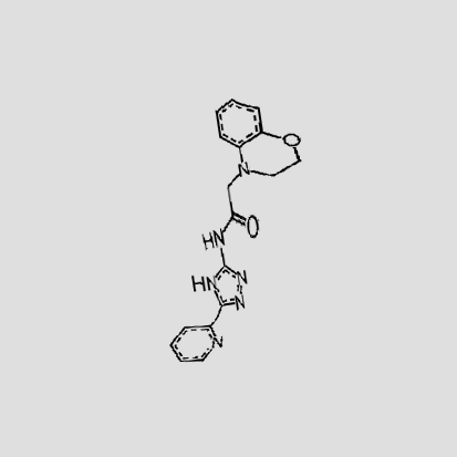 O=C(CN1CCOc2ccccc21)Nc1nnc(-c2ccccn2)[nH]1